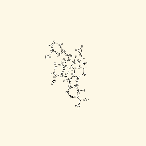 Cc1c(C(=O)O)ccc2nc3n(c12)CC[C@H]1[C@@H]3[C@H](c2cccc(Cl)c2F)[C@](C)(C(=O)Nc2cccc(Cl)c2)N1CC1CC1